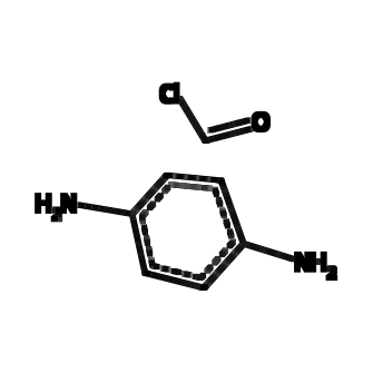 Nc1ccc(N)cc1.O=CCl